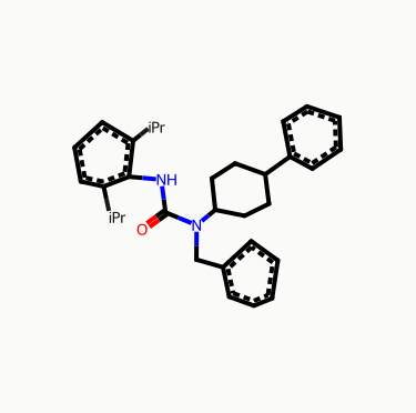 CC(C)c1cccc(C(C)C)c1NC(=O)N(Cc1ccccc1)C1CCC(c2ccccc2)CC1